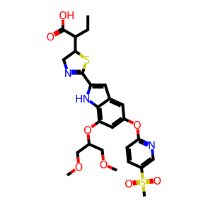 CCC(C(=O)O)C1CN=C(c2cc3cc(Oc4ccc(S(C)(=O)=O)cn4)cc(OC(COC)COC)c3[nH]2)S1